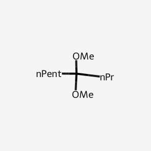 CCCCCC(CCC)(OC)OC